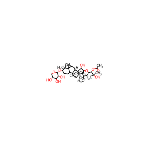 CC(=O)O[C@@H]([C@H]1C[C@@H](C)C2=C(O1)[C@H](O)[C@@]1(C)[C@@H]3CC[C@H]4C(C)(C)[C@@H](O[C@@H]5OC[C@@H](O)[C@H](O)[C@H]5O)CC[C@]4(C)[C@]3(C)CC[C@]21C)C(C)(C)O